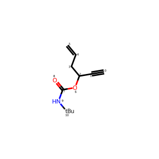 C#CC(CC=C)OC(=O)NC(C)(C)C